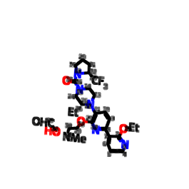 CCOc1ncccc1-c1ccc(N2CCN(C(=O)N3CCC[C@H]3C(F)(F)F)C[C@H]2CC)c(OCCNC)n1.O=CO